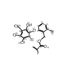 C=C(C)C(=O)OCc1ccccc1Br.Oc1c(Cl)c(Cl)c(Cl)c(Cl)c1Cl